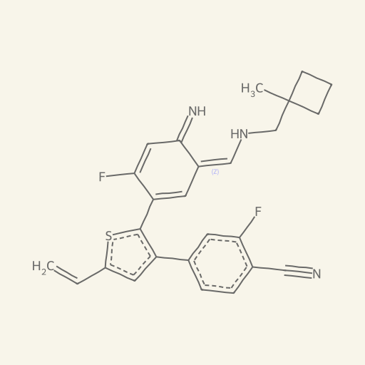 C=Cc1cc(-c2ccc(C#N)c(F)c2)c(C2=C/C(=C/NCC3(C)CCC3)C(=N)C=C2F)s1